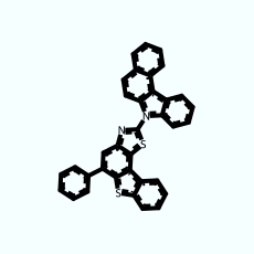 c1ccc(-c2cc3nc(-n4c5ccccc5c5c6ccccc6ccc54)sc3c3c2sc2ccccc23)cc1